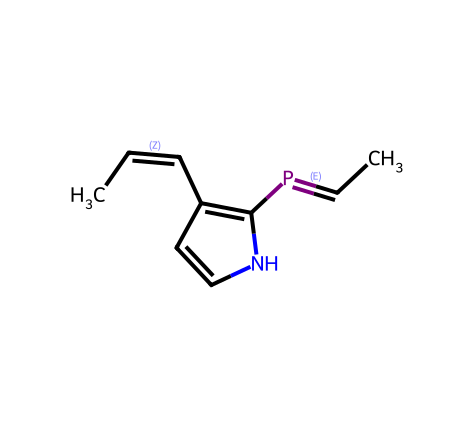 C/C=C\c1cc[nH]c1/P=C/C